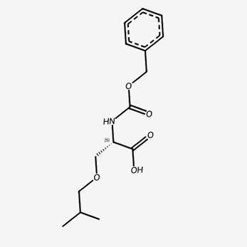 CC(C)COC[C@H](NC(=O)OCc1ccccc1)C(=O)O